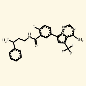 CC(CCNC(=O)c1cc(-c2cc(C(F)(F)F)c3c(N)ncnn23)ccc1F)c1ccccc1